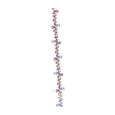 CNCCOCCOCC(=O)NCCOCCOCC(=O)NCCOCCOCC(=O)NCCOCCOCC(=O)NCCOCCOCC(=O)NCCOCCOCC(C)=O